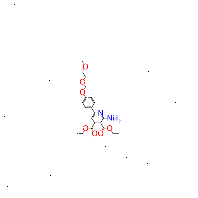 CCOC(=O)c1cc(-c2ccc(OCOCCOC)cc2)nc(N)c1C(=O)OCC